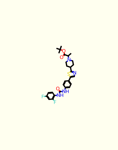 CC(C(=O)OC(C)(C)C)N1CCC(c2ncc(-c3ccc(NC(=O)Nc4ccc(F)cc4F)cc3)s2)CC1